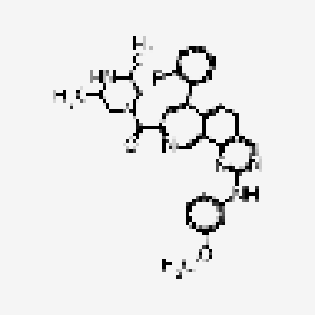 COc1cccc(Nc2ncc3c(n2)C2=CN=C(C(=O)N4CC(C)NC(C)C4)C=C(c4ccccc4F)C2=CC3)c1